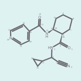 N#CC(NC(=O)[C@@H]1CCCC[C@@H]1NC(=O)c1ccncc1)C1CC1